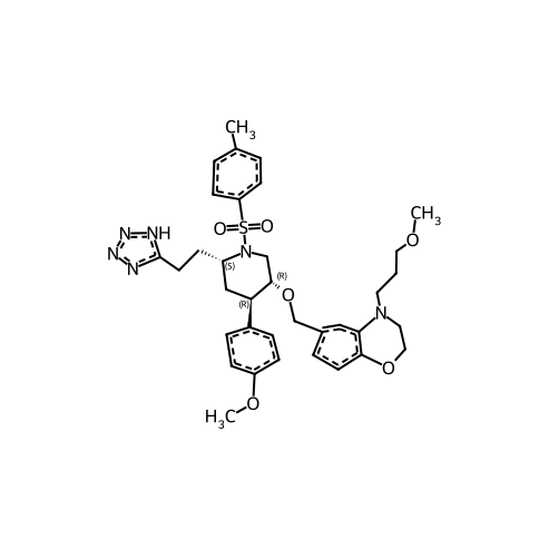 COCCCN1CCOc2ccc(CO[C@H]3CN(S(=O)(=O)c4ccc(C)cc4)[C@@H](CCc4nnn[nH]4)C[C@@H]3c3ccc(OC)cc3)cc21